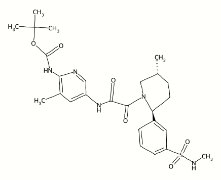 CNS(=O)(=O)c1cccc([C@@H]2CC[C@@H](C)CN2C(=O)C(=O)Nc2cnc(NC(=O)OC(C)(C)C)c(C)c2)c1